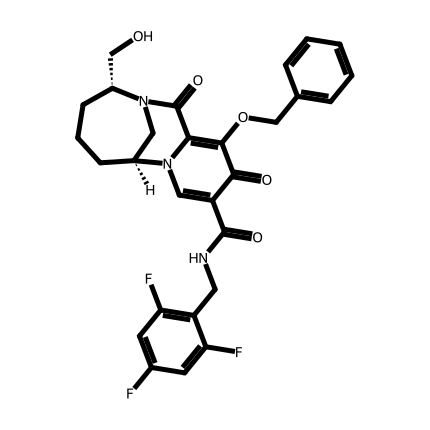 O=C(NCc1c(F)cc(F)cc1F)c1cn2c(c(OCc3ccccc3)c1=O)C(=O)N1C[C@@H]2CCC[C@@H]1CO